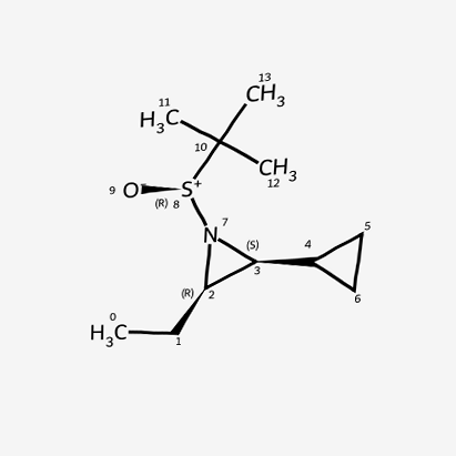 CC[C@@H]1[C@H](C2CC2)N1[S@@+]([O-])C(C)(C)C